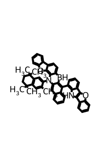 Cc1cc2c(cc1N1c3cc4ccccc4c(-c4cccc5c4[nH]c4c6ccccc6oc54)c3Bc3ccc4c(oc5ccccc54)c31)C(C)(C)CCC2(C)C